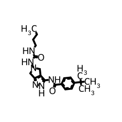 CCCCNC(=O)NN1Cc2n[nH]c(NC(=O)c3ccc(C(C)(C)C)cc3)c2C1